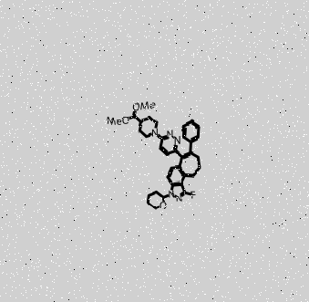 COC(OC)C1CCN(c2ccc(C3=C(c4ccccc4)CCCc4c3ccc3c4c(F)nn3C3CCCCO3)nn2)CC1